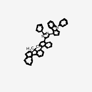 CC1(C)c2ccc3ccccc3c2-c2cccc(-c3ccc(-c4cc(-c5cccc6c5c5ccccc5n6-c5ccccc5)nc(-c5ccccc5)n4)c4ccccc34)c21